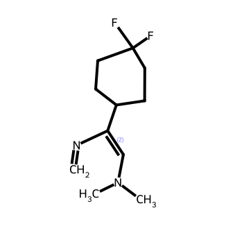 C=N/C(=C\N(C)C)C1CCC(F)(F)CC1